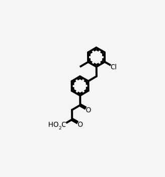 Cc1cccc(Cl)c1Cc1cccc(C(=O)CC(=O)C(=O)O)c1